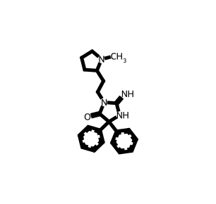 CN1CCCC1CCN1C(=N)NC(c2ccccc2)(c2ccccc2)C1=O